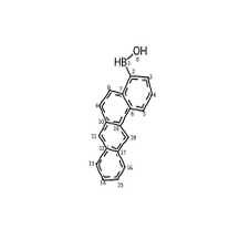 OBc1cccc2c1ccc1cc3ccccc3cc12